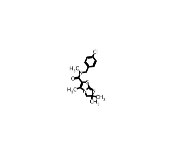 CC1=C(C(=O)N(C)Cc2ccc(Cl)cc2)SC2=NC(C)(C)CN21